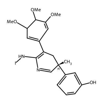 COC1=CC(C2=C(NI)N=C[C@@](C)(c3cccc(O)c3)C2)=CC(OC)C1OC